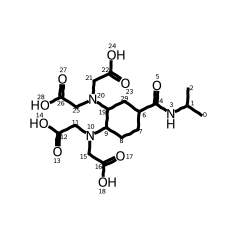 CC(C)NC(=O)C1CCC(N(CC(=O)O)CC(=O)O)C(N(CC(=O)O)CC(=O)O)C1